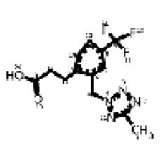 Cc1nnn(Cc2cc(C(F)(F)F)ccc2CCC(=O)O)n1